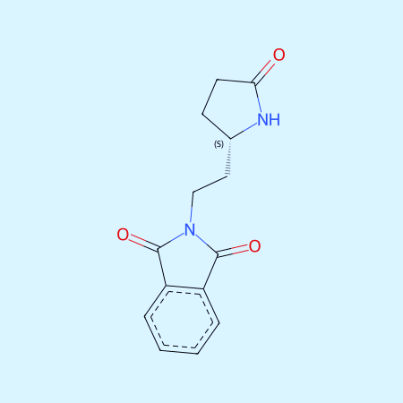 O=C1CC[C@@H](CCN2C(=O)c3ccccc3C2=O)N1